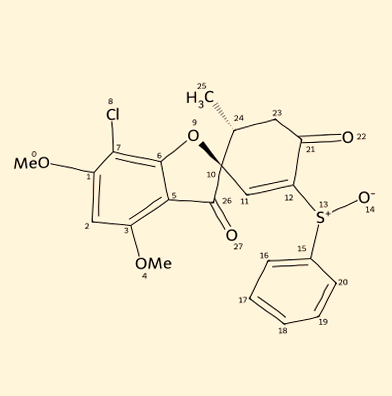 COc1cc(OC)c2c(c1Cl)O[C@@]1(C=C([S+]([O-])c3ccccc3)C(=O)C[C@H]1C)C2=O